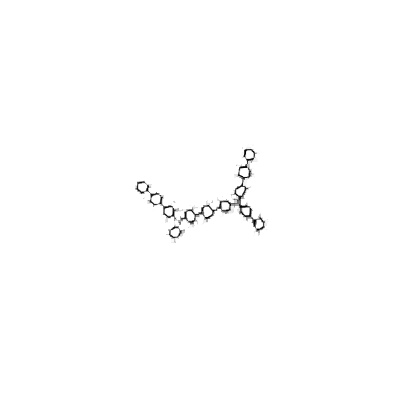 c1ccc(-c2ccc(-c3ccc(N(c4ccccc4)c4ccc(-c5ccc(-c6ccc(N(c7ccc(-c8ccccc8)cc7)c7ccc(-c8ccc(-c9ccccc9)cc8)cc7)cc6)cc5)cc4)cc3)cc2)cc1